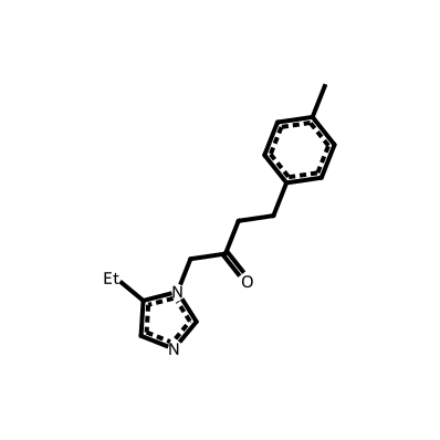 CCc1cncn1CC(=O)CCc1ccc(C)cc1